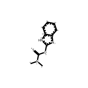 CN(C)C(=S)Oc1nc2ccccc2[nH]1